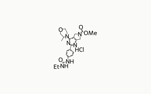 CCNC(=O)Nc1ccc(-c2nc3c(c(N4CCOCC4C)n2)CN(C(=O)OC)C3)cc1.Cl